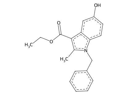 CCOC(=O)c1c(C)n(Cc2ccccc2)c2ccc(O)cc12